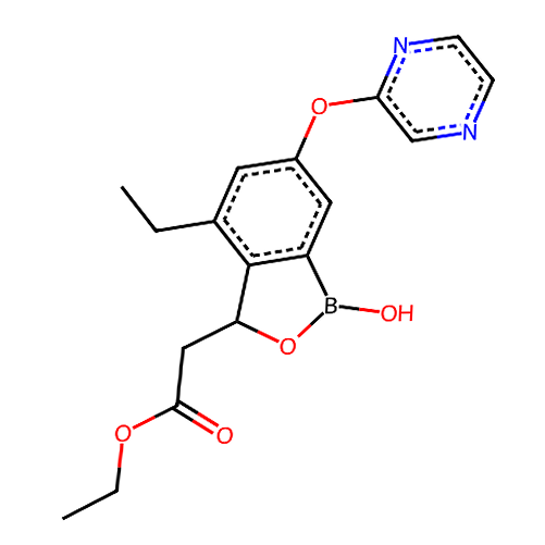 CCOC(=O)CC1OB(O)c2cc(Oc3cnccn3)cc(CC)c21